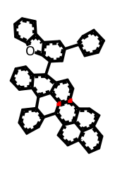 c1ccc(-c2cc(-c3c4ccccc4c(-c4ccccc4-c4ccc5ccc6cccc7ccc4c5c67)c4ccccc34)c3oc4ccccc4c3c2)cc1